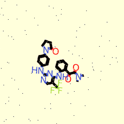 CN(C)C(=O)C(=O)c1ccccc1Nc1nc(Nc2ccc(N3CCCC3=O)cc2)ncc1C(F)(F)F